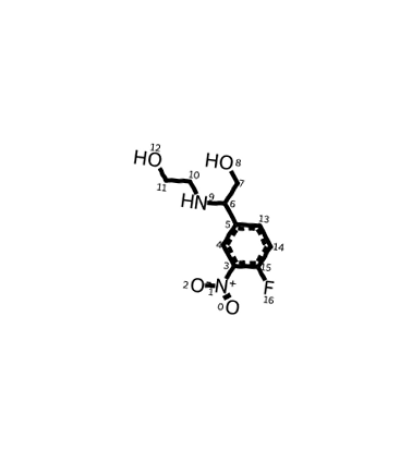 O=[N+]([O-])c1cc(C(CO)NCCO)ccc1F